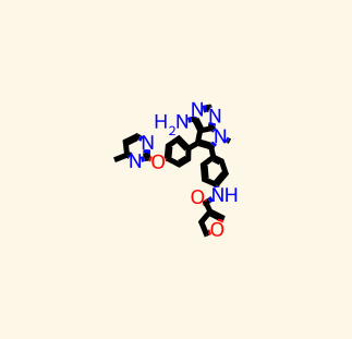 Cc1ccnc(Oc2ccc(-c3c(-c4ccc(NC(=O)C5=COCC5)cc4)n(C)c4ncnc(N)c34)cc2)n1